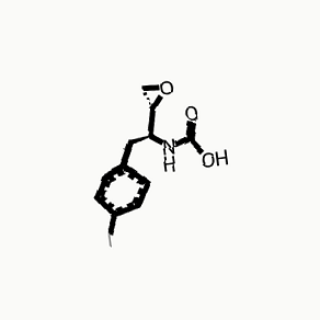 O=C(O)N[C@@H](Cc1ccc(I)cc1)[C@@H]1CO1